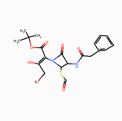 CC(C)(C)OC(=O)/C(=C(\O)CBr)N1C(=O)C(NC(=O)Cc2ccccc2)C1SC=O